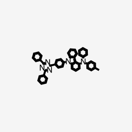 Cc1ccc(N(c2ccccc2)c2cccc3c2c2ccccc2n3-c2ccc(-c3nc(-c4ccccc4)nc(-c4ccccc4)n3)cc2)cc1